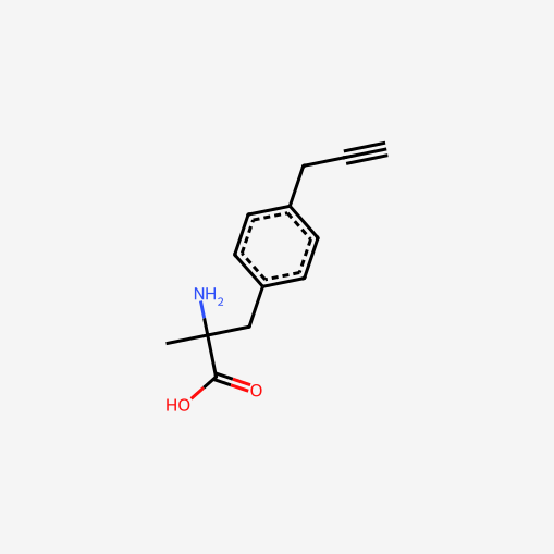 C#CCc1ccc(CC(C)(N)C(=O)O)cc1